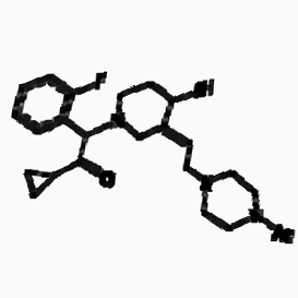 CC(=O)N1CCN(C/C=C2\CN(C(C(=O)C3CC3)c3ccccc3F)CCC2S)CC1